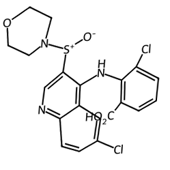 O=C(O)c1cccc(Cl)c1Nc1c([S+]([O-])N2CCOCC2)cnc2ccc(Cl)cc12